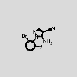 N#Cc1cnn(-c2c(Br)cccc2Br)c1N